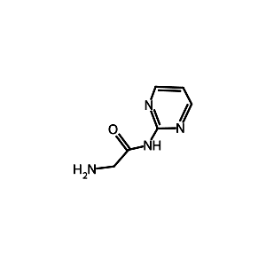 NCC(=O)Nc1ncccn1